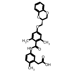 Cc1ccc(NC(=O)c2c(C)cc(OC[C@@H]3COc4ccccc4O3)cc2C)cc1CC(=O)O